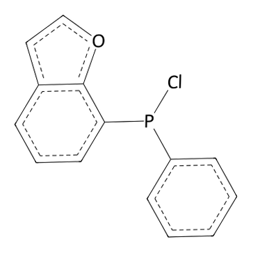 ClP(c1ccccc1)c1cccc2ccoc12